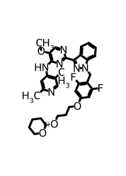 COc1cnc(-c2nn(Cc3c(F)cc(OCCCO[C@H]4CCCCO4)cc3F)c3ccccc23)nc1Nc1cc(C)ncc1C